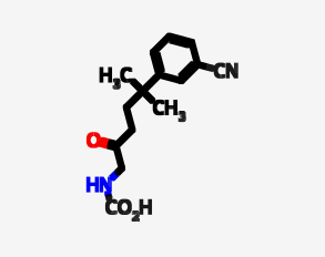 CC(C)(CCC(=O)CNC(=O)O)c1cccc(C#N)c1